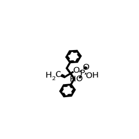 C=CC(Cc1ccccc1)(Cc1ccccc1)OP(=O)(O)O